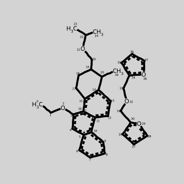 CCOc1cc2ccccc2c2ccc3c(c12)CCC(COC(C)C)C3C.c1coc(COCc2ccco2)c1